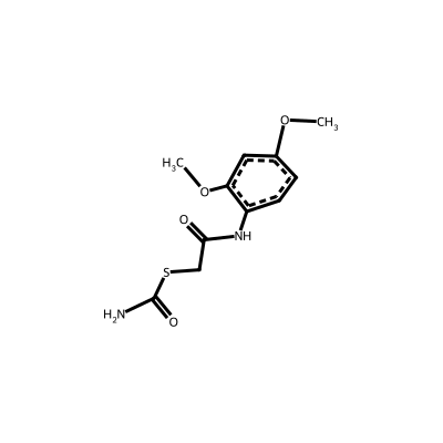 COc1ccc(NC(=O)CSC(N)=O)c(OC)c1